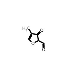 CC1=COC(C=O)C1=O